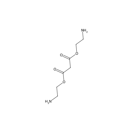 NCCOC(=O)CC(=O)OCCN